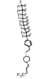 CCCC[C@H]1CC[C@H](CCc2ccc(C(F)(F)C(F)(F)C(F)(F)C(F)(F)C(F)(F)C(F)(F)C(F)(F)C(F)(F)C(F)(F)F)cc2)CC1